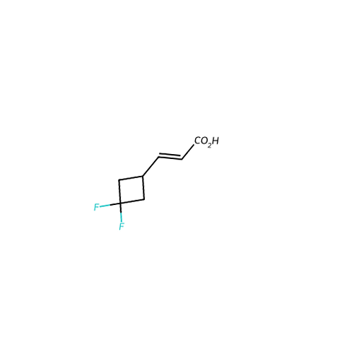 O=C(O)C=CC1CC(F)(F)C1